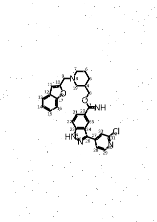 N=C(OCC1CCCN(Cc2cc3ccccc3o2)C1)c1ccc2[nH]nc(-c3ccnc(Cl)c3)c2c1